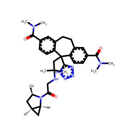 CN(C)C(=O)c1ccc2c(c1)CCc1cc(C(=O)N(C)C)ccc1C2(CC(C)(C)NCC(=O)N1[C@H](C#N)C[C@@H]2C[C@@H]21)c1nnn[nH]1